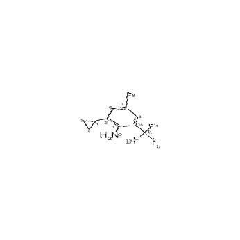 Nc1c(C2CC2)cc(F)cc1C(F)(F)F